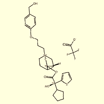 O=C(O[C@H]1C[N+]2(CCCOc3ccc(CO)cc3)CCC1CC2)[C@](O)(c1cccs1)C1CCCC1.O=C([O-])C(F)(F)F